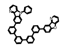 c1ccc(-n2c3ccc(-c4cccc(-c5cccc(-c6cccc(-c7cccc(-c8ccc9oc%10cccnc%10c9c8)c7)c6)c5)c4)cc3c3ncccc32)cc1